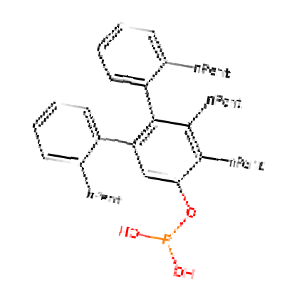 CCCCCc1ccccc1-c1cc(OP(O)O)c(CCCCC)c(CCCCC)c1-c1ccccc1CCCCC